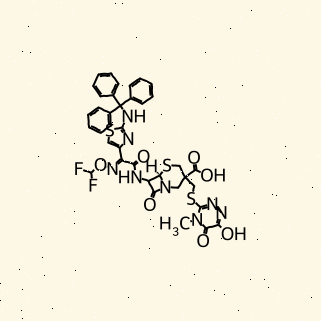 Cn1c(SCC2(C(=O)O)CS[C@@H]3C(NC(=O)C(=NOC(F)F)c4csc(NC(c5ccccc5)(c5ccccc5)c5ccccc5)n4)C(=O)N3C2)nnc(O)c1=O